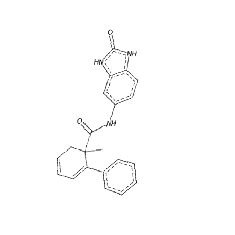 CC1(C(=O)Nc2ccc3[nH]c(=O)[nH]c3c2)CC=CC=C1c1ccccc1